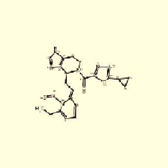 CCC1=CC=C/C(=C/C[C@H]2c3nc[nH]c3CCN2C(=O)c2nnc(C3CC3)o2)N1N=S